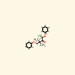 CC(C)(COc1ccccc1)C(=O)C(Cl)Oc1ccccc1